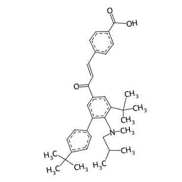 CC(C)CN(C)c1c(-c2ccc(C(C)(C)C)cc2)cc(C(=O)C=Cc2ccc(C(=O)O)cc2)cc1C(C)(C)C